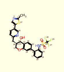 Cc1ncc(-c2ccc(C[C@@H]3COc4cc(-c5ccccc5NS(=O)(=O)C(F)(F)F)ccc4[C@H]3O)nc2)s1